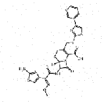 CON=C(C(=O)NC1C(=O)N2C(C(=O)O)=C(CSc3nc(-c4cccnc4)cs3)CS[C@@H]12)c1csc(N)n1